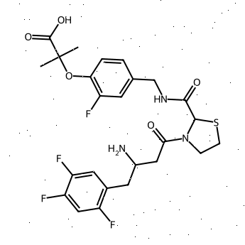 CC(C)(Oc1ccc(CNC(=O)C2SCCN2C(=O)CC(N)Cc2cc(F)c(F)cc2F)cc1F)C(=O)O